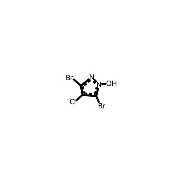 On1nc(Br)c(Cl)c1Br